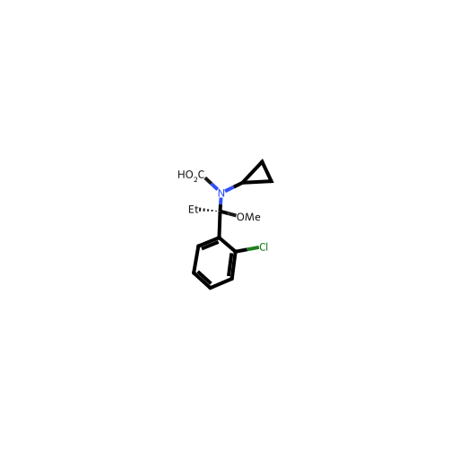 CC[C@](OC)(c1ccccc1Cl)N(C(=O)O)C1CC1